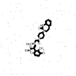 CCN(C)C(=O)/C(=C\N(C=O)CC(=O)N1CCC(N2CCc3ccccc3NC2=O)CC1)c1cccc(Cl)c1C